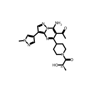 CC(=O)c1c(C2CCN(C(=O)[C@@H](C)O)CC2)nc2c(-c3cnn(C)c3)cnn2c1N